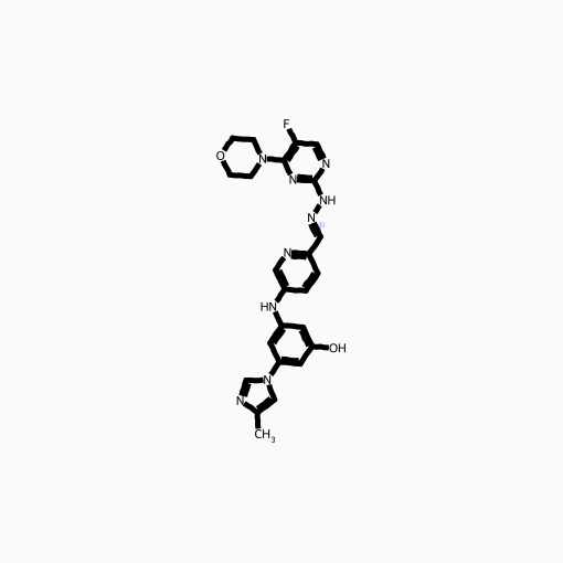 Cc1cn(-c2cc(O)cc(Nc3ccc(/C=N/Nc4ncc(F)c(N5CCOCC5)n4)nc3)c2)cn1